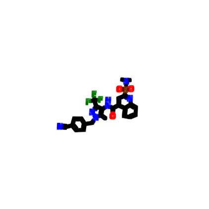 Cc1c(NC(=O)c2cc(S(=O)(=O)N(C)C)nc3ccccc23)c(C(F)(F)F)nn1Cc1ccc(C#N)cc1